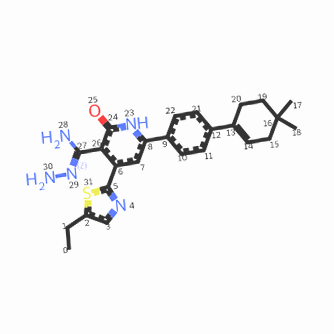 CCc1cnc(-c2cc(-c3ccc(C4=CCC(C)(C)CC4)cc3)[nH]c(=O)c2/C(N)=N/N)s1